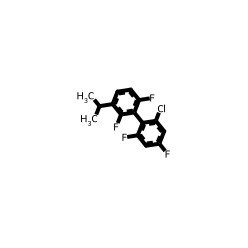 CC(C)c1ccc(F)c(-c2c(F)cc(F)cc2Cl)c1F